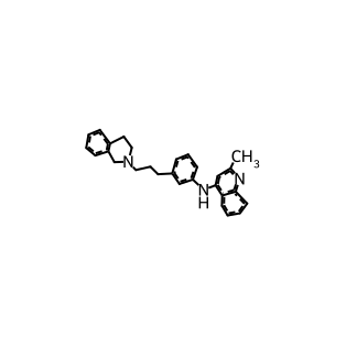 Cc1cc(Nc2cccc(CCCN3CCc4ccccc4C3)c2)c2ccccc2n1